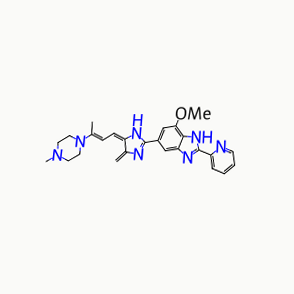 C=c1nc(-c2cc(OC)c3[nH]c(-c4ccccn4)nc3c2)[nH]/c1=C/C=C(\C)N1CCN(C)CC1